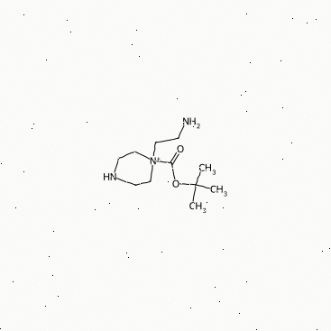 CC(C)(C)OC(=O)[N+]1(CCN)CCNCC1